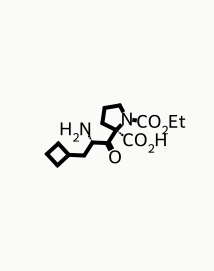 CCOC(=O)N1CCC[C@]1(C(=O)O)C(=O)[C@@H](N)CC1CCC1